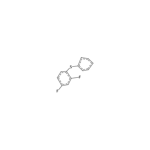 Fc1ccc(Sc2ccccc2)c(F)c1